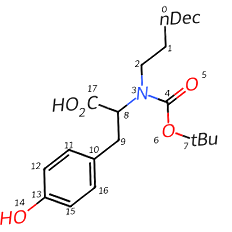 CCCCCCCCCCCCN(C(=O)OC(C)(C)C)C(Cc1ccc(O)cc1)C(=O)O